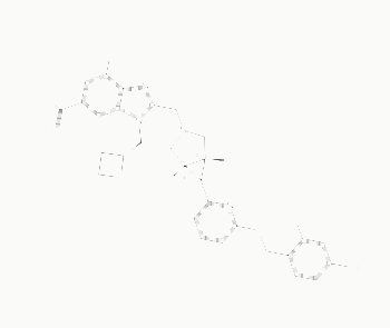 O=C(O)c1cc(F)c2nc(CN3C[C@@H]4C(c5cccc(OCc6ccc(Cl)cc6F)n5)[C@@H]4C3)n(C[C@@H]3CCO3)c2c1